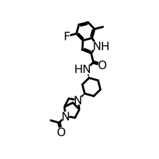 CC(=O)N1CC2CC1CN2[C@@H]1CCC[C@@H](NC(=O)c2cc3c(F)ccc(C)c3[nH]2)C1